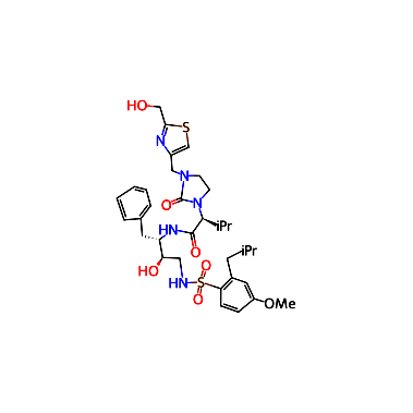 COc1ccc(S(=O)(=O)NC[C@@H](O)[C@H](Cc2ccccc2)NC(=O)[C@H](C(C)C)N2CCN(Cc3csc(CO)n3)C2=O)c(CC(C)C)c1